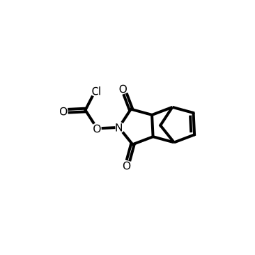 O=C(Cl)ON1C(=O)C2C3C=CC(C3)C2C1=O